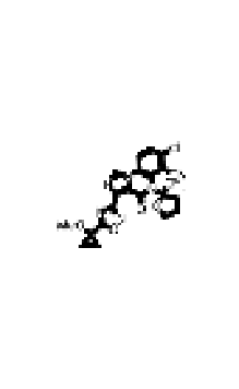 COC1(c2nc(-c3ncn4c3c(=O)n(C3(C)CCCO3)c3c(C#N)c(Cl)ccc34)no2)CC1